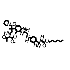 CCCCCCOC(=O)NC(=N)c1ccc(NCc2nc3c(C)c(C(C)(CNC(C(C)=O)C(=O)OC)C(=O)N4CCCC4)ccc3[nH]2)cc1